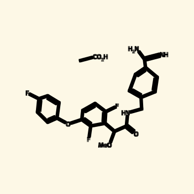 CC(=O)O.COC(C(=O)NCc1ccc(C(=N)N)cc1)c1c(F)ccc(Oc2ccc(F)cc2)c1F